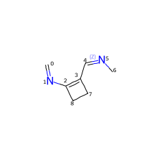 C=NC1=C(/C=N\C)CC1